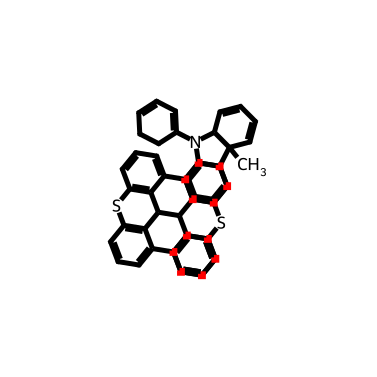 CC12C=CC=CC1N(C1=CC=CCC1)C1C(c3cccc4c3C(C3C5=C(CCC=C5)Sc5ccccc53)c3c(cccc3C3C=CC=CC3)S4)=CC=CC12